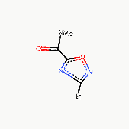 CCc1noc(C(=O)NC)n1